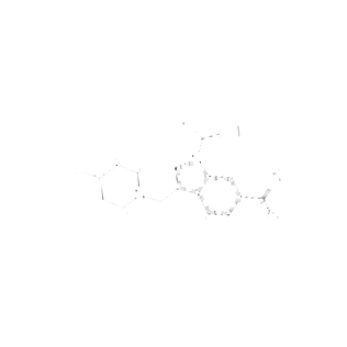 CC(C)n1cc(CN2CCC(O)CC2)c2ccc(C(=O)O)cc21